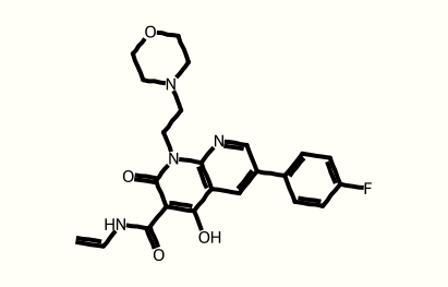 C=CNC(=O)c1c(O)c2cc(-c3ccc(F)cc3)cnc2n(CCN2CCOCC2)c1=O